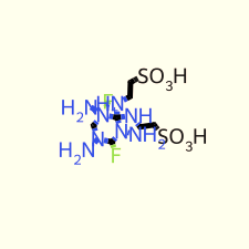 NN1C[N+](N)(F)C(NCCS(=O)(=O)O)(NCCS(=O)(=O)O)N(N)C1F